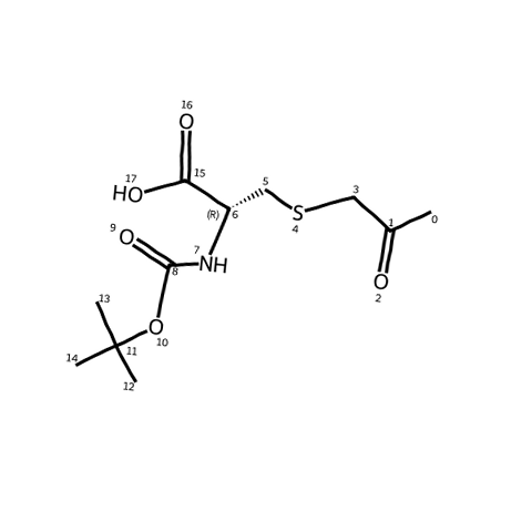 CC(=O)CSC[C@H](NC(=O)OC(C)(C)C)C(=O)O